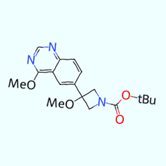 COc1ncnc2ccc(C3(OC)CN(C(=O)OC(C)(C)C)C3)cc12